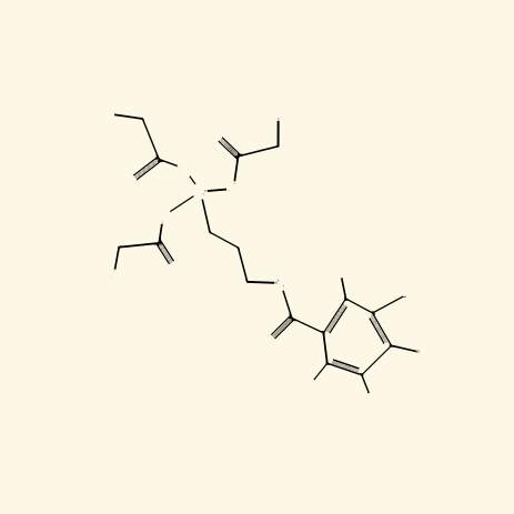 CCC(=O)O[Si](CCCNC(=O)c1c(F)c(F)c(F)c(F)c1F)(OC(=O)CC)OC(=O)CC